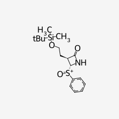 CC(C)(C)[Si](C)(C)OCC[C@H]1C(=O)N[C@@H]1[S+]([O-])c1ccccc1